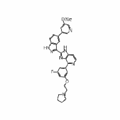 COc1cncc(-c2ccc3[nH]nc(-c4nc5c(-c6cc(F)cc(OCCN7CCCC7)c6)nccc5[nH]4)c3c2)c1